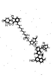 C#Cc1c(F)ccc2cc(O)cc(-c3ncc4c(N5C[C@H]6CC[C@@H](C5)N6)nc(OC[C@@]56CC[C@@H](COC(=O)NCCCCCCCc7cccc8c7C(=O)N(C7CCC(=O)NC7=O)C8=O)N5CC(=C)C6)nc4c3F)c12